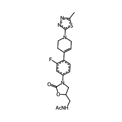 CC(=O)NCC1CN(c2ccc(C3=CCN(c4nnc(C)s4)CC3)c(F)c2)C(=O)O1